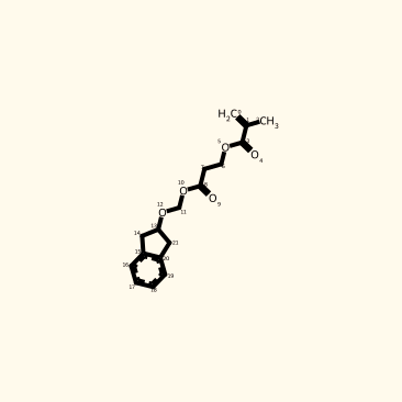 C=C(C)C(=O)OCCC(=O)OCOC1Cc2ccccc2C1